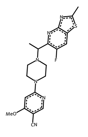 COc1cc(N2CCN(C(C)c3nc4nc(C)sc4cc3F)CC2)ncc1C#N